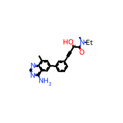 CCN(C)C(=O)[C@H](O)C#Cc1cccc(-c2cc(C)c3ncnc(N)c3c2)c1